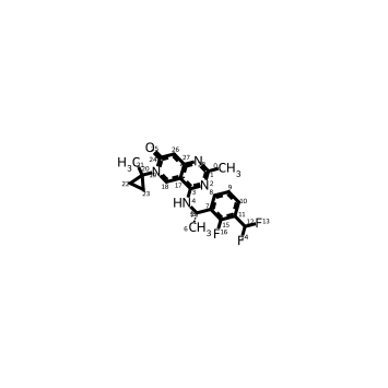 Cc1nc(N[C@@H](C)c2cccc(C(F)F)c2F)c2cn(C3(C)CC3)c(=O)cc2n1